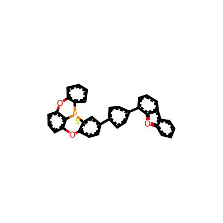 S=P12c3ccccc3Oc3cccc(c31)Oc1ccc(-c3ccc(-c4cccc5c4oc4ccccc45)cc3)cc12